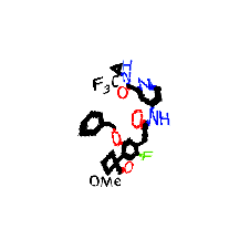 COC(=O)C1(c2cc(F)c(CC(=O)Nc3ccnc(C(=O)NC4(C(F)(F)F)CC4)c3)cc2OCc2ccccc2)CCC1